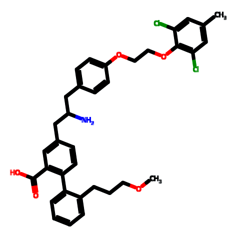 COCCCc1ccccc1-c1ccc(CC(N)Cc2ccc(OCCOc3c(Cl)cc(C)cc3Cl)cc2)cc1C(=O)O